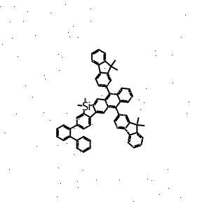 CC1(C)c2ccccc2-c2ccc(-c3c4ccccc4c(-c4ccc5c(c4)C(C)(C)c4ccccc4-5)c4cc5c(cc34)-c3ccc(-c4ccccc4-c4ccccc4)cc3[Si]5(C)C)cc21